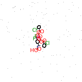 C/C(=C\C(=O)O)c1ccc(C(F)(F)P(=O)(OCOC(=O)c2ccccc2Cl)OCOC(=O)c2ccccc2Cl)cc1